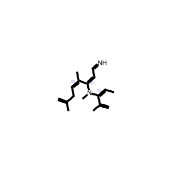 C=C(C)C/C=C(C)\C(=C/C=N)N(C)/C(=C/C)C(=C)C